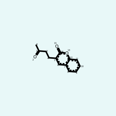 CC(=O)CCc1cc2ccccc2oc1=O